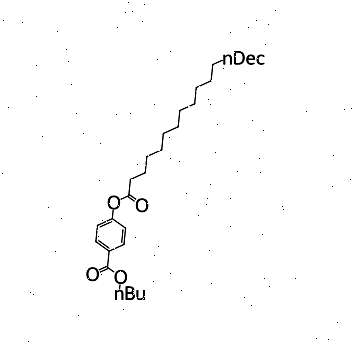 CCCCCCCCCCCCCCCCCCCCCC(=O)Oc1ccc(C(=O)OCCCC)cc1